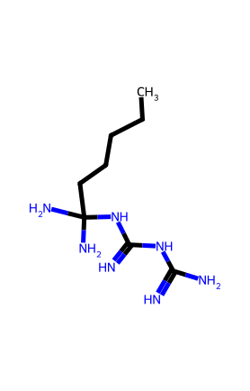 CCCCCC(N)(N)NC(=N)NC(=N)N